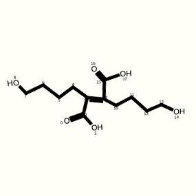 O=C(O)C(CCCCO)=C(CCCCO)C(=O)O